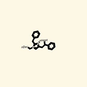 CCCCCCCCCCCn1cc(CC(C)c2ccccc2)[n+](CCCCCCC)c1Cc1ccccc1